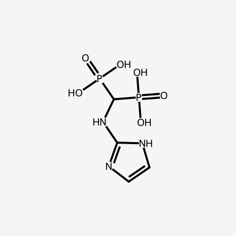 O=P(O)(O)C(Nc1ncc[nH]1)P(=O)(O)O